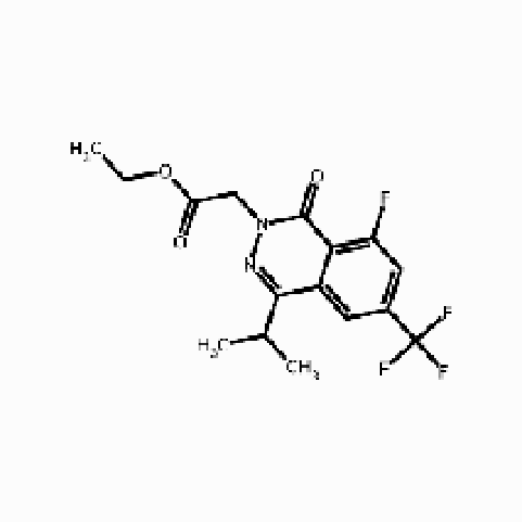 CCOC(=O)Cn1nc(C(C)C)c2cc(C(F)(F)F)cc(F)c2c1=O